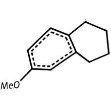 COc1ccc2c(c1)CCC[CH]2